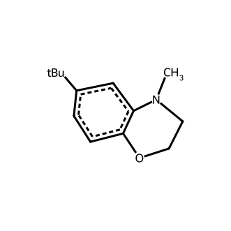 CN1CCOc2ccc(C(C)(C)C)cc21